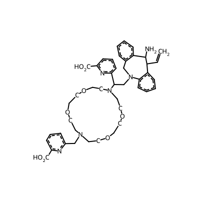 C=CC1c2ccccc2N(CC(c2cccc(C(=O)O)n2)N2CCOCCOCCN(Cc3cccc(C(=O)O)n3)CCOCCOCC2)Cc2ccccc2C1N